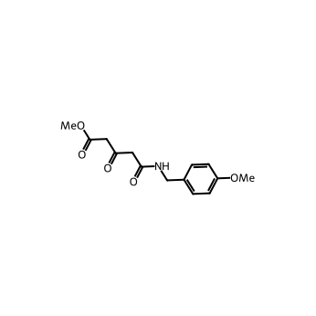 COC(=O)CC(=O)CC(=O)NCc1ccc(OC)cc1